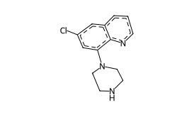 Clc1cc(N2CCNCC2)c2ncccc2c1